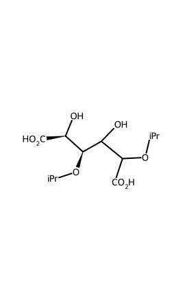 CC(C)OC(C(=O)O)C(O)[C@@H](OC(C)C)[C@H](O)C(=O)O